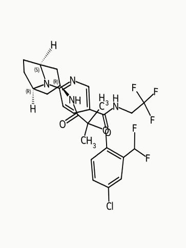 CC(C)(Oc1ccc(Cl)cc1C(F)F)C(=O)N[C@H]1C[C@H]2CC[C@@H](C1)N2c1ccc(C(=O)NCC(F)(F)F)cn1